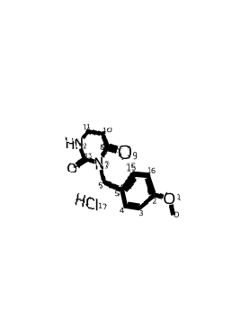 COc1ccc(CN2C(=O)CCNC2=O)cc1.Cl